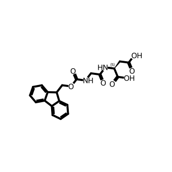 O=C(O)C[C@H](NC(=O)CNC(=O)OCC1c2ccccc2-c2ccccc21)C(=O)O